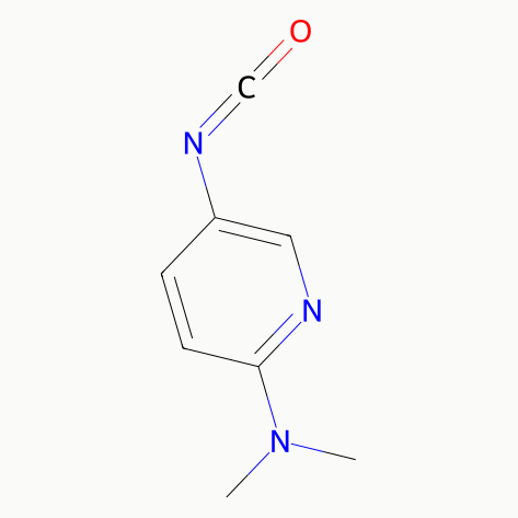 CN(C)c1ccc(N=C=O)cn1